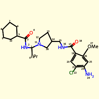 CCCC(NC(=O)C1CCCCC1)N1CCC(CNC(=O)c2cc(Cl)c(N)cc2OC)C1